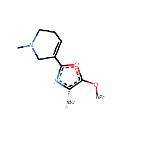 CCCOc1oc(C2=CCCN(C)C2)nc1[C@@H](C)CC